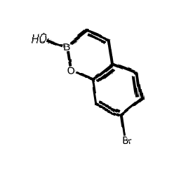 OB1C=Cc2ccc(Br)cc2O1